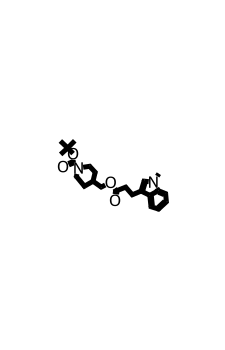 Cn1cc(CCC(=O)OCC2CCN(C(=O)OC(C)(C)C)CC2)c2ccccc21